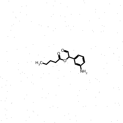 CCCCC(=O)OC(C=O)c1cccc(N)c1